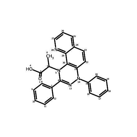 CC(C(=O)O)N1C(c2ccccc2)=NN(c2ccccc2)c2ccc3cccnc3c21